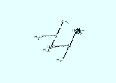 CCCCCCCCCCCCN(CCCCCCCCCCCC)CCCCCCCCCCCC.CCCCCCCCCCCCN(CCCCCCCCCCCC)CCCCCCCCCCCC.O=S(=O)(O)O